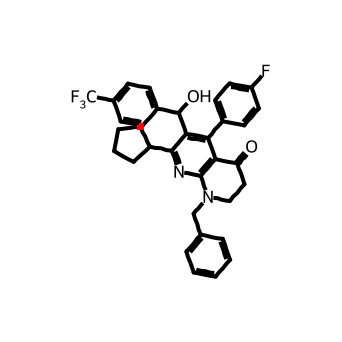 O=C1CCN(Cc2ccccc2)c2nc(C3CCCC3)c(C(O)c3ccc(C(F)(F)F)cc3)c(-c3ccc(F)cc3)c21